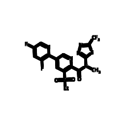 CCS(=O)(=O)c1cc(-c2ncc(F)cc2F)cnc1C(=O)N(C)c1nnc(C(F)(F)F)s1